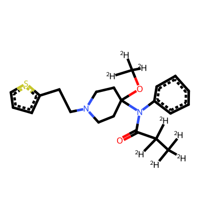 [2H]C([2H])([2H])OC1(N(C(=O)C([2H])([2H])C([2H])([2H])[2H])c2ccccc2)CCN(CCc2cccs2)CC1